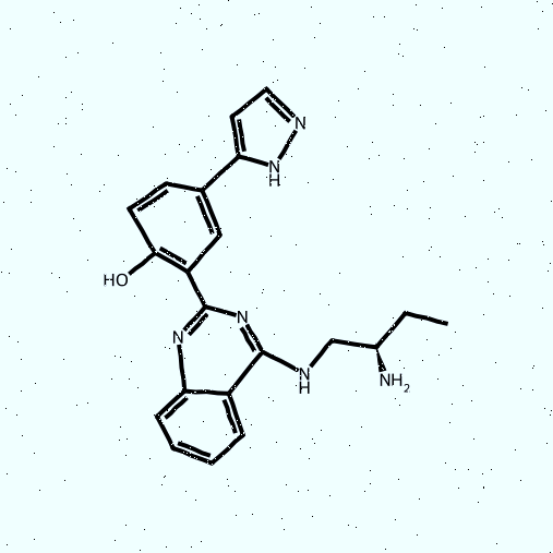 CC[C@@H](N)CNc1nc(-c2cc(-c3ccn[nH]3)ccc2O)nc2ccccc12